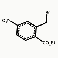 CCOC(=O)c1ccc([N+](=O)[O-])cc1CBr